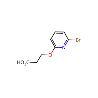 O=C(O)CCOc1cccc(Br)n1